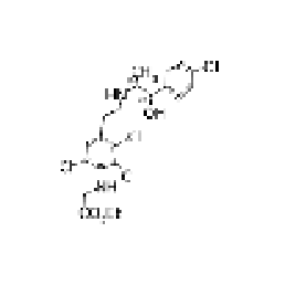 CCOC(=O)CNc1c(Cl)cc(CCN[C@@H](C)[C@H](O)c2ccc(O)cc2)c(Cl)c1Cl